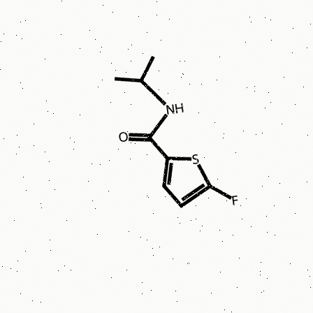 CC(C)NC(=O)c1ccc(F)s1